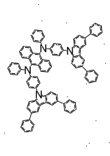 c1ccc(-c2ccc3c(c2)c2cc(-c4ccccc4)ccc2n3-c2ccc(N(c3ccccc3)c3c4ccccc4c(N(c4ccccc4)c4ccc(-n5c6ccc(-c7ccccc7)cc6c6cc(-c7ccccc7)ccc65)cc4)c4ccccc34)cc2)cc1